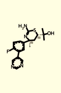 CC(C)(O)[C@@H]1C[C@@](C)(c2ccc(F)c(-c3cncnc3)c2)N=C(N)S1